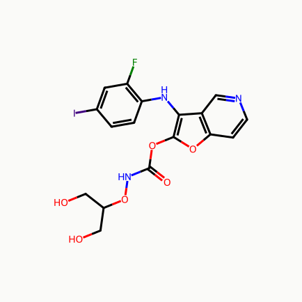 O=C(NOC(CO)CO)Oc1oc2ccncc2c1Nc1ccc(I)cc1F